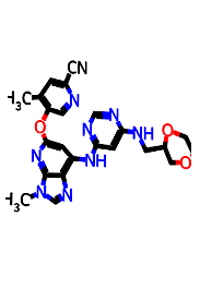 Cc1cc(C#N)ncc1Oc1cc(Nc2cc(NCC3COCCO3)ncn2)c2ncn(C)c2n1